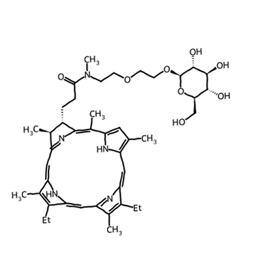 CCC1=C(C)c2cc3[nH]c(cc4nc(c(C)c5cc(C)c(cc1n2)[nH]5)[C@@H](CCC(=O)N(C)CCOCCO[C@@H]1O[C@H](CO)[C@@H](O)[C@H](O)[C@H]1O)[C@@H]4C)c(C)c3CC